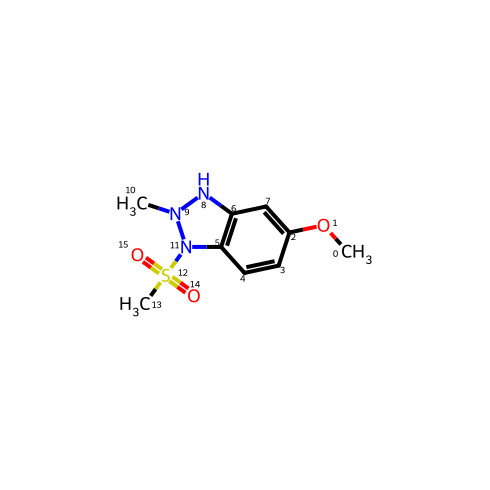 COc1ccc2c(c1)NN(C)N2S(C)(=O)=O